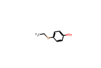 Oc1ccc(SCC(F)(F)F)cc1